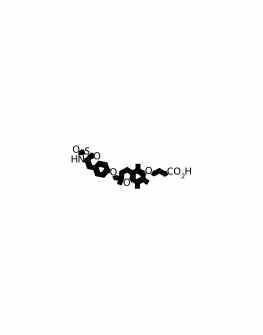 Cc1c(C)c2c(c(C)c1OCCCC(=O)O)CCC(C)(COc1ccc(C=C3NC(=O)SC3=O)cc1)O2